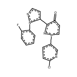 O=c1ccn(-c2ccc(Cl)nc2)nc1-c1ccnn1-c1ccccc1F